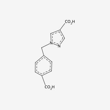 O=C(O)c1ccc(Cn2cc(C(=O)O)cn2)cc1